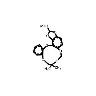 COC1Oc2ccc3c(c2O1)Sc1ccccc1OCC(C)(C)CCO3